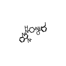 CN(C)c1cc(NC2CCC(NC(=O)c3cccc(I)c3)CC2)nc2ccccc12